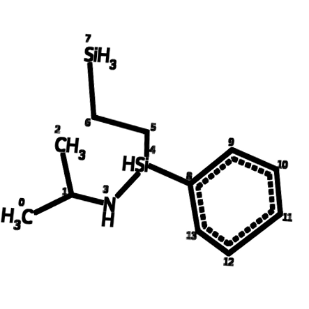 CC(C)N[SiH](CC[SiH3])c1ccccc1